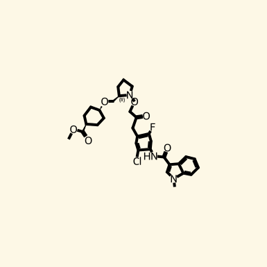 COC(=O)[C@H]1CC[C@H](OC[C@H]2CCCN2OCC(=O)Cc2cc(Cl)c(NC(=O)c3cn(C)c4ccccc34)cc2F)CC1